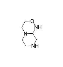 C1CN2CCONC2CN1